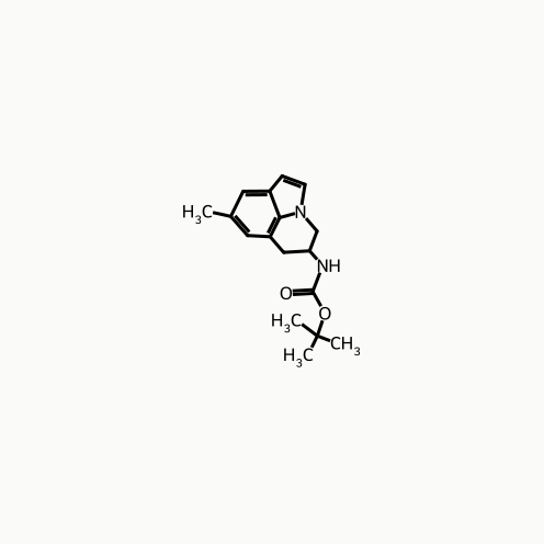 Cc1cc2c3c(ccn3CC(NC(=O)OC(C)(C)C)C2)c1